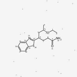 CCOC(C)CC(CCC(N)=O)c1nc2ccccc2s1